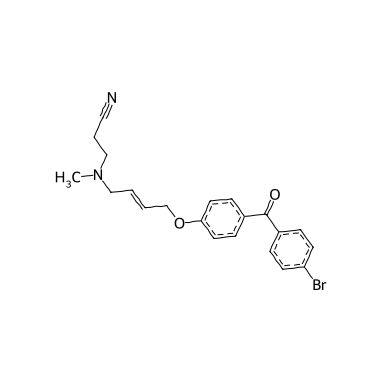 CN(CC=CCOc1ccc(C(=O)c2ccc(Br)cc2)cc1)CCC#N